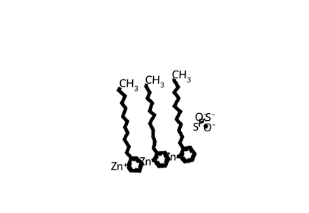 CCCCCCCCCCCCc1cccc[c]1[Zn+].CCCCCCCCCCCCc1cccc[c]1[Zn+].CCCCCCCCCCCCc1cccc[c]1[Zn+].[O-]P([O-])(=S)[S-]